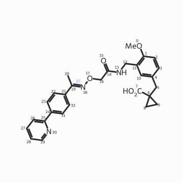 COc1ccc(CC2(C(=O)O)CC2)cc1CNC(=O)CO/N=C(\C)c1ccc(-c2ccccn2)cc1